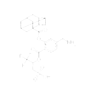 BCc1ccc(C(=O)OC(CS(=O)(=O)O)C(F)(F)F)c(OC(=O)C23CC4CC(C2)C2CC3C2C4)c1